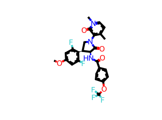 COc1cc(F)c([C@@H]2CN(c3c(C)ccn(C)c3=O)C(=O)[C@H]2NC(=O)c2ccc(OC(F)(F)F)cc2)c(F)c1